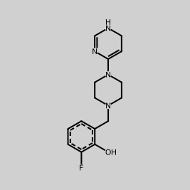 Oc1c(F)cccc1CN1CCN(C2=CCNC=N2)CC1